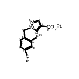 CCOC(=O)c1cnn(Cc2ccc(F)cc2F)c1